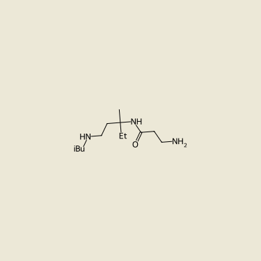 CCC(C)NCCC(C)(CC)NC(=O)CCN